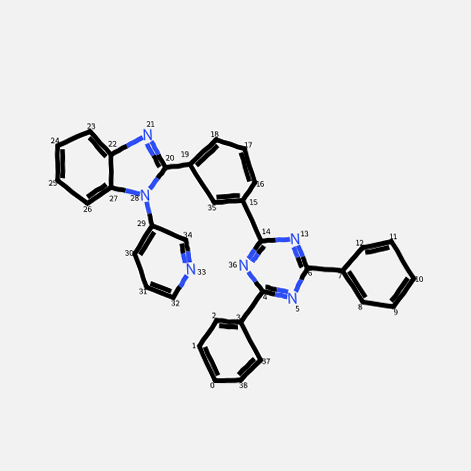 c1ccc(-c2nc(-c3ccccc3)nc(-c3cccc(-c4nc5ccccc5n4-c4cccnc4)c3)n2)cc1